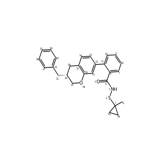 CC1(SNC(=O)c2ccccc2-c2ccc3c(c2)OC[C@H](Cc2ccccc2)C3)CC1